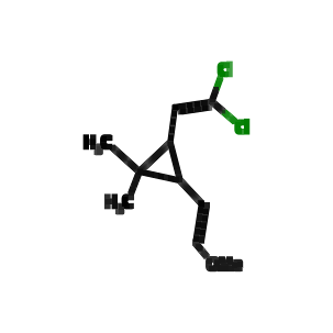 COC=CC1C(C=C(Cl)Cl)C1(C)C